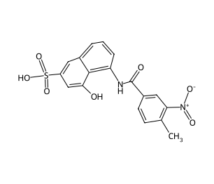 Cc1ccc(C(=O)Nc2cccc3cc(S(=O)(=O)O)cc(O)c23)cc1[N+](=O)[O-]